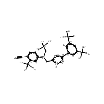 N#Cc1ccc(N(Cc2nc(-c3cc(C(F)(F)F)cc(C(F)(F)F)c3)no2)CC(F)(F)F)cc1C(F)(F)F